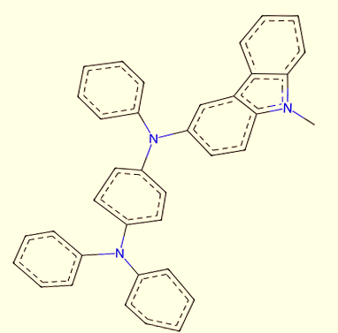 Cn1c2ccccc2c2cc(N(c3ccccc3)c3ccc(N(c4ccccc4)c4ccccc4)cc3)ccc21